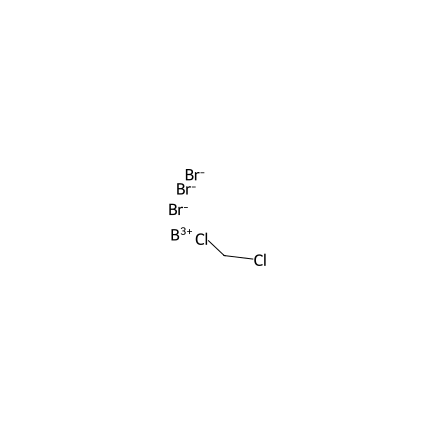 ClCCl.[B+3].[Br-].[Br-].[Br-]